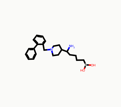 NC(CCCCB(O)O)C1CCN(Cc2ccccc2-c2ccccc2)CC1